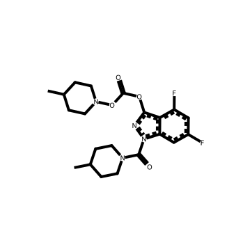 CC1CCN(OC(=O)Oc2nn(C(=O)N3CCC(C)CC3)c3cc(F)cc(F)c23)CC1